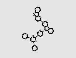 c1ccc(-c2nc(-c3ccccc3)nc(-c3ccc(-n4c5ccccc5c5ccc(-c6ccc7sc8ccccc8c7c6)cc54)nc3)n2)cc1